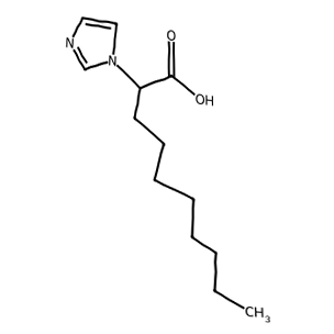 CCCCCCCCC(C(=O)O)n1ccnc1